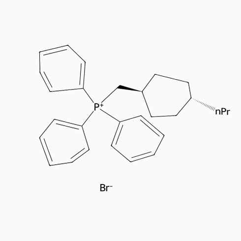 CCC[C@H]1CC[C@H](C[P+](c2ccccc2)(c2ccccc2)c2ccccc2)CC1.[Br-]